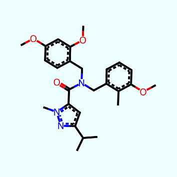 COc1ccc(CN(Cc2cccc(OC)c2C)C(=O)c2cc(C(C)C)nn2C)c(OC)c1